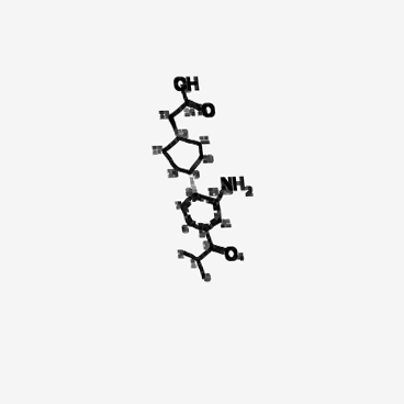 CC(C)C(=O)c1ccc([C@H]2CC[C@H](CC(=O)O)CC2)c(N)c1